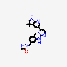 CC(=O)NCc1ccc(C)c(Nc2nccc(-c3cnc4c(c3)C(C)(C)CN4)n2)c1